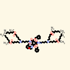 CCCCCCC(C)OC(=O)CCCCCN(CCCCCCNC(=O)C1(COCc2ccccc2)CC(COCc2ccccc2)(C(=O)NCCCCCCN(CCCCCC(=O)OC(C)CCCCCC)CCCCCC(=O)OC(C)CCCCCC)CC(COCc2ccccc2)(C(=O)N2CCCC2)C1)CCCCCC(=O)OC(C)CCCCCC